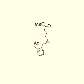 COC(=O)CCC/C=C\CC1C2C=CC(C2)C1CC(C)=O